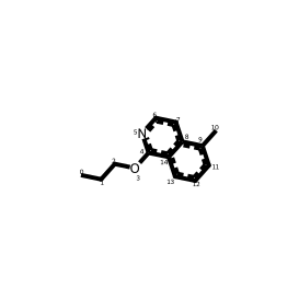 CCCOc1nccc2c(C)cccc12